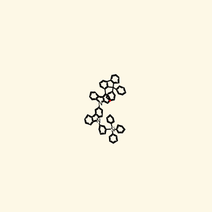 c1ccc(C2(c3ccccc3)c3ccccc3-c3cccc(-c4cccc5c4c4ccccc4n5-c4ccc5c(c4)c4ccccc4n5-c4cccc([Si](c5ccccc5)(c5ccccc5)c5ccccc5)c4)c32)cc1